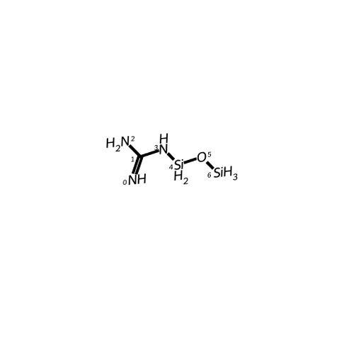 N=C(N)N[SiH2]O[SiH3]